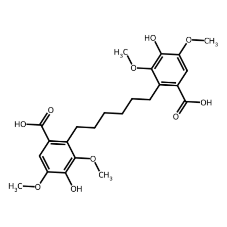 COc1cc(C(=O)O)c(CCCCCCc2c(C(=O)O)cc(OC)c(O)c2OC)c(OC)c1O